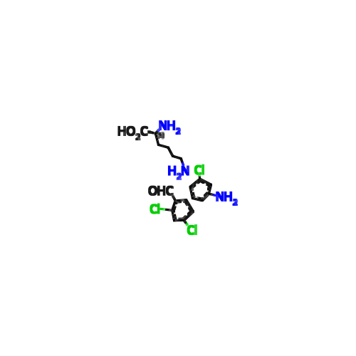 NCCCC[C@H](N)C(=O)O.Nc1cccc(Cl)c1.O=Cc1ccc(Cl)cc1Cl